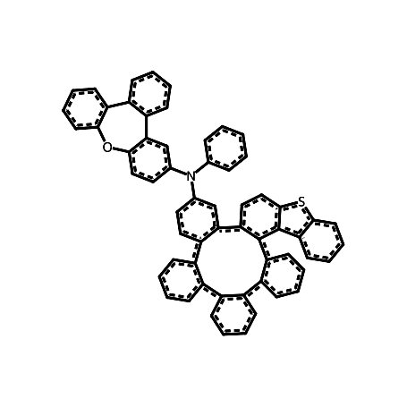 c1ccc(N(c2ccc3c(c2)-c2ccccc2-c2ccccc2O3)c2ccc3c4ccccc4c4ccccc4c4ccccc4c4c(ccc5sc6ccccc6c54)c3c2)cc1